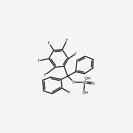 [O]=[Sb]([OH])([OH])[O]C(c1ccccc1)(c1ccccc1F)c1c(F)c(F)c(F)c(F)c1F